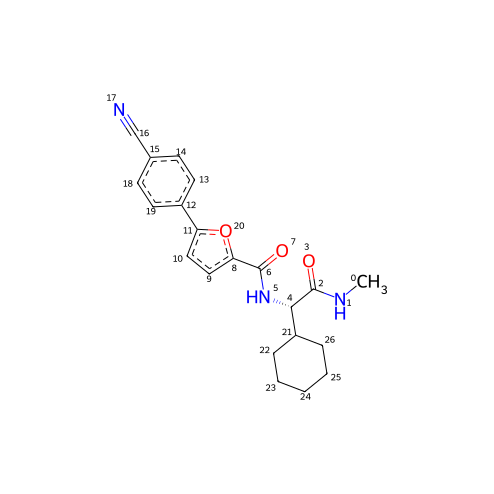 CNC(=O)[C@@H](NC(=O)c1ccc(-c2ccc(C#N)cc2)o1)C1CCCCC1